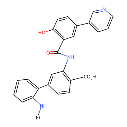 CCNc1ccccc1-c1ccc(C(=O)O)c(NC(=O)c2cc(-c3cccnc3)ccc2O)c1